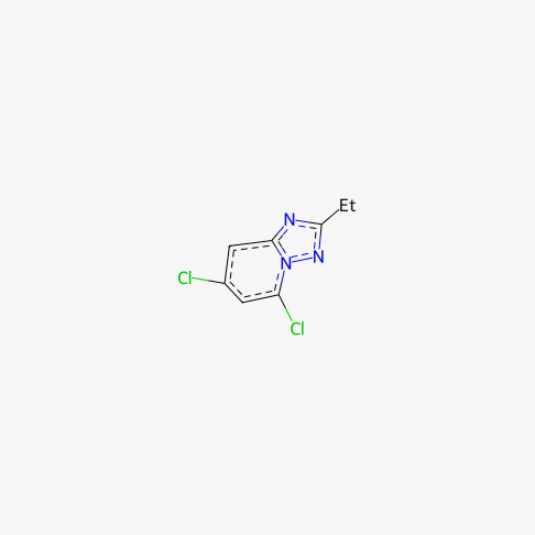 CCc1nc2cc(Cl)cc(Cl)n2n1